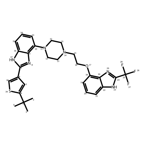 CC(C)(C)c1cc(-c2nc3c(N4CCN(CCOc5cccc6[nH]c(C(F)(F)F)nc56)CC4)cccc3[nH]2)cs1